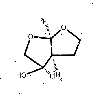 [2H][C@]12OCC[C@@]1([2H])[C@@](C)(O)CO2